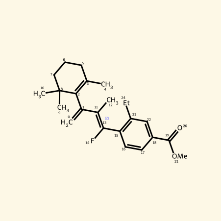 C=C(C1=C(C)CCCC1(C)C)/C(C)=C(\F)c1ccc(C(=O)OC)cc1CC